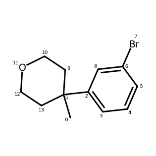 CC1(c2cccc(Br)c2)CCOCC1